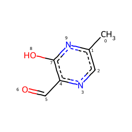 Cc1cnc(C=O)c(O)n1